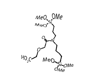 CO[Si](CCCN(CCC[Si](OC)(OC)OC)C(=O)COCC(=O)O)(OC)OC